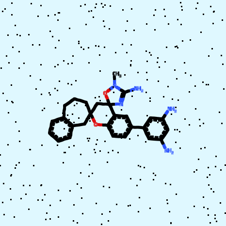 CN1OC2(CC3(CCCc4ccccc4C3)Oc3ccc(-c4cc(N)cc(N)c4)cc32)N=C1N